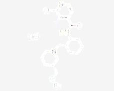 CCOC[C@@H]1CCCN(C[C@H]2CCCC[C@@H]2NC(=O)c2ccnc(Cl)c2F)C1.Cl